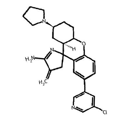 C=C1CC2(N=C1N)c1cc(-c3cncc(Cl)c3)ccc1OC1CC[C@H](N3CCCC3)C[C@@H]12